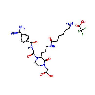 N=C(N)c1ccc(C(=O)NCC(=O)N2CCN(CC(=O)O)C(=O)[C@@H]2CCCNC(=O)CCCCCN)cc1.O=C(O)C(F)(F)F